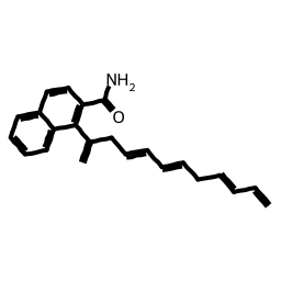 C=CC=CCC=CC=CCC(=C)c1c(C(N)=O)ccc2ccccc12